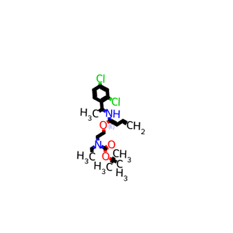 C=C/C=C(\NC(C)c1ccc(Cl)cc1Cl)OCCN(CC)C(=O)OC(C)(C)C